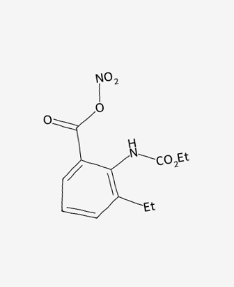 CCOC(=O)Nc1c(CC)cccc1C(=O)O[N+](=O)[O-]